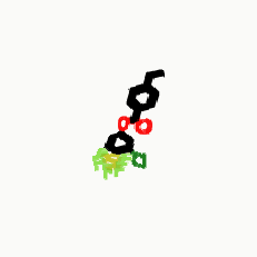 CCc1ccc(C(=O)Oc2ccc(S(F)(F)(F)(F)F)c(Cl)c2)cc1